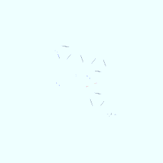 C1CCNCC1.COc1ccc(S(=O)(=O)N(C(C)=O)c2ccccc2C=Cc2cc[n+]([O-])cc2)cc1.Cl